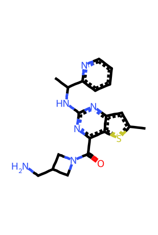 Cc1cc2nc(NC(C)c3ccccn3)nc(C(=O)N3CC(CN)C3)c2s1